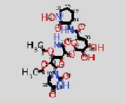 CCOC1C(OCC)[C@H](n2ccc(=O)[nH]c2=O)O[C@@H]1C(O[C@H]1OC(C(=O)NC2CCCCN(O)C2=O)=CC(O)C1O)C(N)=O